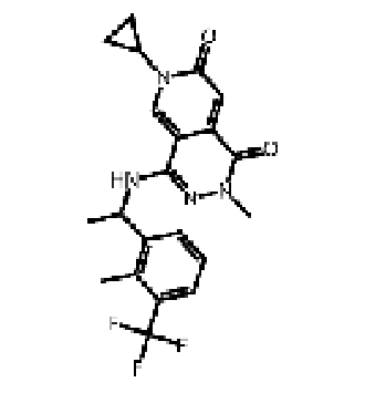 Cc1c(C(C)Nc2nn(C)c(=O)c3cc(=O)n(C4CC4)cc23)cccc1C(F)(F)F